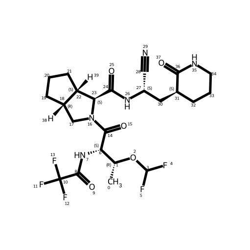 C[C@@H](OC(F)F)[C@H](NC(=O)C(F)(F)F)C(=O)N1C[C@@H]2CCC[C@@H]2[C@H]1C(=O)N[C@H](C#N)C[C@@H]1CCCNC1=O